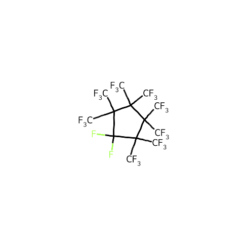 FC(F)(F)C1(C(F)(F)F)C(F)(F)C(C(F)(F)F)(C(F)(F)F)C(C(F)(F)F)(C(F)(F)F)C1(C(F)(F)F)C(F)(F)F